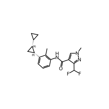 Cc1c(NC(=O)c2cn(C)nc2C(F)F)cccc1[C@@H]1C[C@@H]1C1CC1